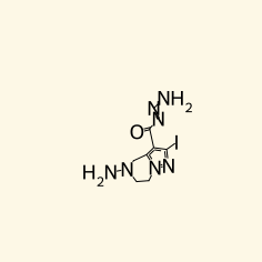 NN=NC(=O)c1c(I)nn2c1CN(N)CC2